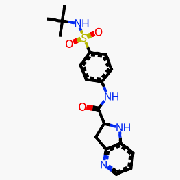 CC(C)(C)NS(=O)(=O)c1ccc(NC(=O)C2Cc3ncccc3N2)cc1